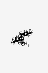 CCS(=O)(=O)c1cc(C(F)(F)F)cnc1-c1[nH]c2cc(C(F)(F)F)cnc2c1F